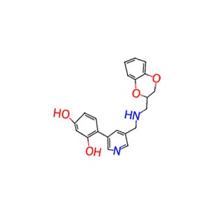 Oc1ccc(-c2cncc(CNCC3COc4ccccc4O3)c2)c(O)c1